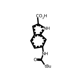 CC(C)(C)C(=O)Nc1ccc2cc(C(=O)O)[nH]c2c1